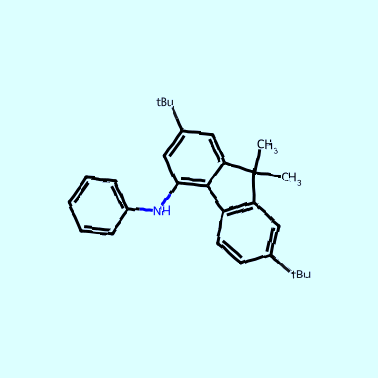 CC(C)(C)c1ccc2c(c1)C(C)(C)c1cc(C(C)(C)C)cc(Nc3ccccc3)c1-2